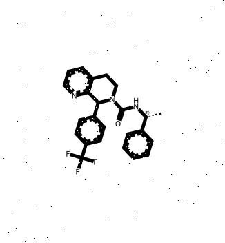 C[C@@H](NC(=O)N1CCc2cccnc2C1c1ccc(C(F)(F)F)cc1)c1ccccc1